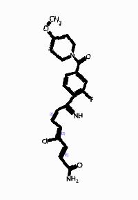 COC1CCN(C(=O)c2ccc(C(=N)\C=C/C=C(Cl)/C=C/C(N)=O)c(F)c2)CC1